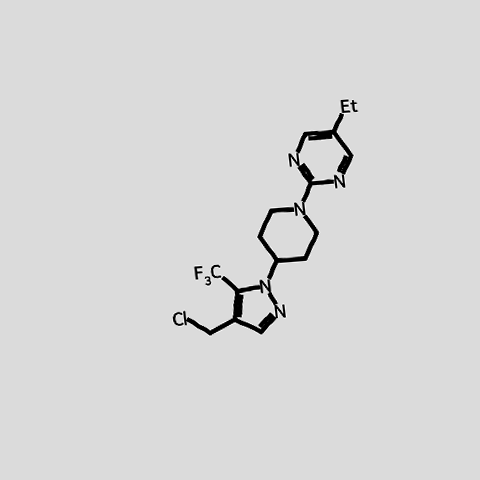 CCc1cnc(N2CCC(n3ncc(CCl)c3C(F)(F)F)CC2)nc1